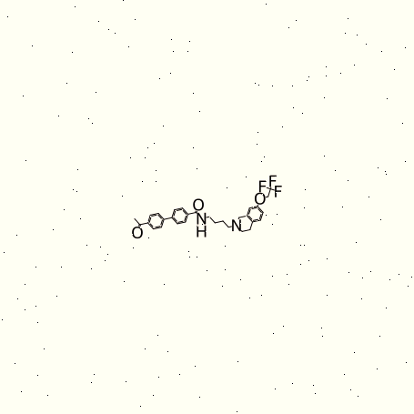 CC(=O)c1ccc(-c2ccc(C(=O)NCCCCN3CCc4ccc(OCC(F)(F)F)cc4C3)cc2)cc1